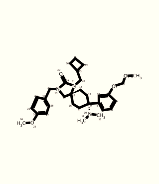 COCOc1cccc([C@]2(N(C)C)CC[C@@]3(CC2)CN(Cc2ccc(OC)cc2)C(=O)N3CC2CCC2)c1